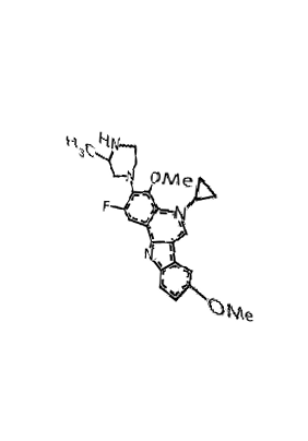 COc1ccc2nc3c4cc(F)c(N5CCNC(C)C5)c(OC)c4n(C4CC4)cc-3c2c1